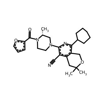 C[C@@H]1CN(c2nc(C3CCCCC3)c3c(c2C#N)CC(C)(C)OC3)CCN1C(=O)c1ccco1